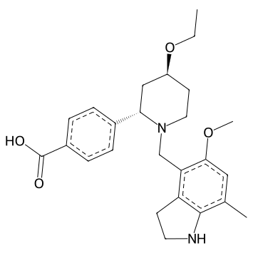 CCO[C@H]1CCN(Cc2c(OC)cc(C)c3c2CCN3)[C@H](c2ccc(C(=O)O)cc2)C1